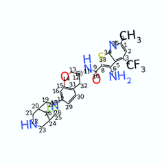 Cc1cc(C(F)(F)F)c2c(N)c(C(=O)N[C@H]3COc4cc(N5CC6CNCC(C5)C6(F)F)ccc4C3)sc2n1